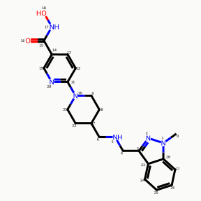 Cn1nc(CNCC2CCN(c3ccc(C(=O)NO)cn3)CC2)c2ccccc21